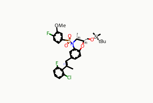 COc1cc(S(=O)(=O)N2c3cc(/C=C(\C)c4c(F)cccc4Cl)ccc3O[C@@H](CO[Si](C)(C)C(C)(C)C)[C@H]2C)ccc1F